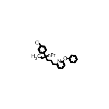 C=CC(CCC)(CCCc1cccc(Oc2ccccc2)n1)c1ccc(Cl)cc1